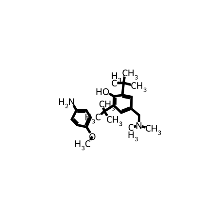 CN(C)Cc1cc(C(C)(C)C)c(O)c(C(C)(C)C)c1.COc1ccc(N)cc1